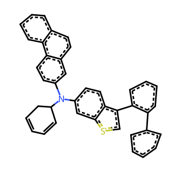 C1=CCC(N(c2ccc3c(ccc4ccccc43)c2)c2ccc3c(-c4ccccc4-c4ccccc4)csc3c2)C=C1